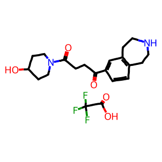 O=C(CCC(=O)N1CCC(O)CC1)c1ccc2c(c1)CCNCC2.O=C(O)C(F)(F)F